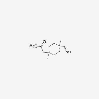 COC(=O)CC1(C)CCC(C)(C=N)CC1